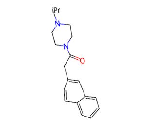 CC(C)N1CCN(C(=O)Cc2ccc3ccccc3c2)CC1